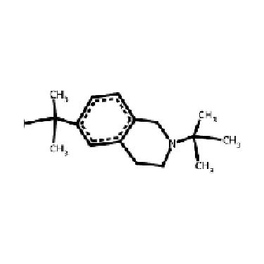 CC(C)(I)c1ccc2c(c1)CCN(C(C)(C)C)C2